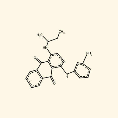 CCC(C)Nc1ccc(Nc2cccc(N)c2)c2c1C(=O)c1ccccc1C2=O